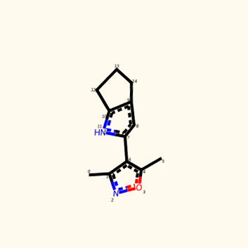 Cc1noc(C)c1-c1cc2c([nH]1)CCC2